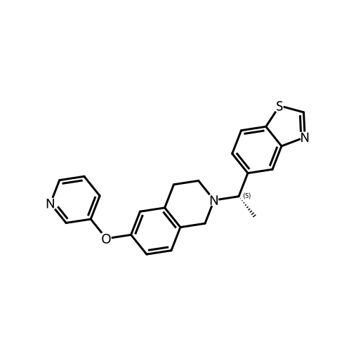 C[C@@H](c1ccc2scnc2c1)N1CCc2cc(Oc3cccnc3)ccc2C1